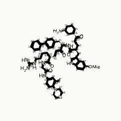 COc1ccc2[nH]cc(C[C@H](CCC(=O)[C@H]3CCC[C@H](N)C3)C(=O)N[C@@H](Cc3ccc(-c4ccccc4)cc3)C(=O)CC[C@@H](CCCCNC(=N)N)C(=O)NCC(=O)Nc3ccc(N4CCOCC4)c(F)c3)c2c1